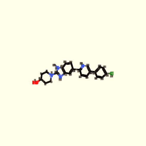 Cn1c(N2CCC(O)CC2)nc2cc(-c3ccc(-c4ccc(Cl)cc4)cn3)ccc21